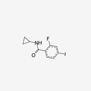 O=C(NC1CC1)c1ccc(I)cc1F